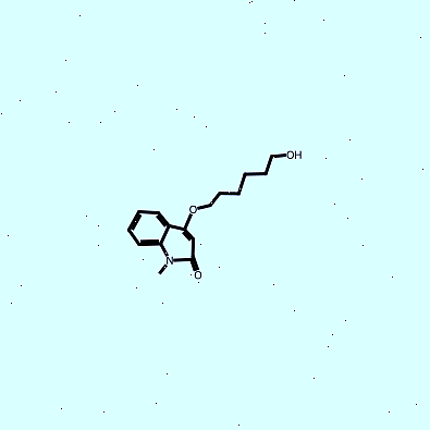 Cn1c(=O)cc(OCCCCCCO)c2ccccc21